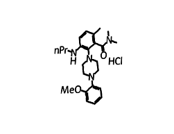 CCCNc1ccc(C)c(C(=O)N(C)C)c1N1CCN(c2ccccc2OC)CC1.Cl